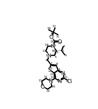 CC(C)[C@@H]1CN(Cc2cc3nc(Cl)nc(N4CCOCC4)c3s2)CCN1C(=O)OC(C)(C)C